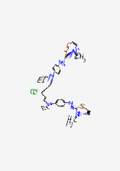 CCN(CCCCN(CC)c1ccc(N=Nc2scc[n+]2C)cc1)c1ccc(N=Nc2scc[n+]2C)cc1.[Cl-].[Cl-]